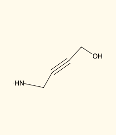 [NH]CC#CCO